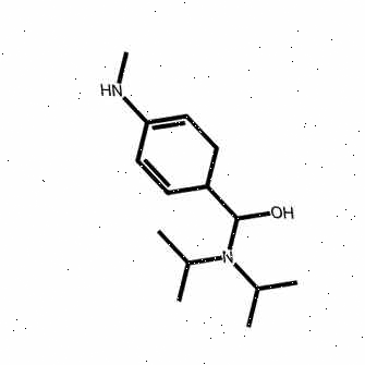 CNC1=CCC(C(O)N(C(C)C)C(C)C)C=C1